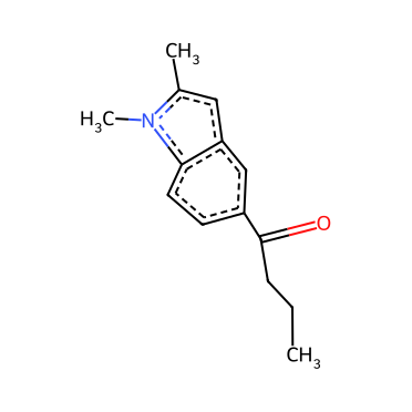 CCCC(=O)c1ccc2c(c1)cc(C)n2C